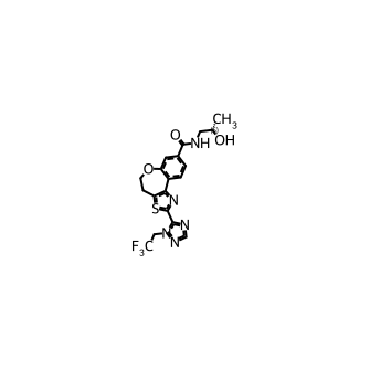 C[C@H](O)CNC(=O)c1ccc2c(c1)OCCc1sc(-c3ncnn3CC(F)(F)F)nc1-2